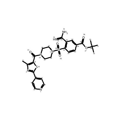 Cc1nc(-c2ccncc2)sc1C(=O)N1CCN(S(=O)(=O)c2ccc(C(=O)OC(C)(C)C)cc2C(=N)N)CC1